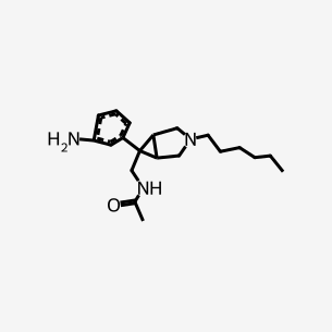 CCCCCCN1CC2C(C1)C2(CNC(C)=O)c1cccc(N)c1